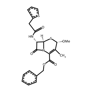 CO[C@H]1S[C@@H]2[C@@H](NC(=O)Cc3cccs3)C(=O)N2C(C(=O)OCc2ccccc2)=C1C